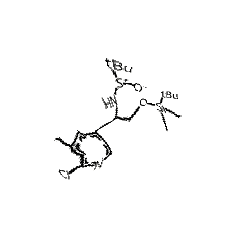 Cc1cc(C(CO[Si](C)(C)C(C)(C)C)N[S+]([O-])C(C)(C)C)cnc1Cl